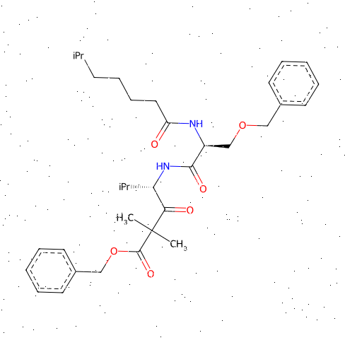 CC(C)CCCCC(=O)N[C@@H](COCc1ccccc1)C(=O)N[C@H](C(=O)C(C)(C)C(=O)OCc1ccccc1)C(C)C